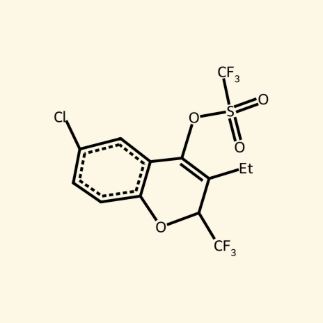 [CH2]CC1=C(OS(=O)(=O)C(F)(F)F)c2cc(Cl)ccc2OC1C(F)(F)F